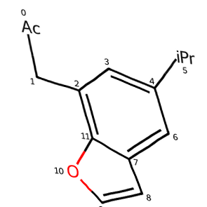 CC(=O)Cc1cc(C(C)C)cc2ccoc12